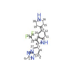 Cc1nc2c(C)cc(-c3[nH]c4ccc(C5CCNCC5)cc4c3CC(F)F)cn2n1